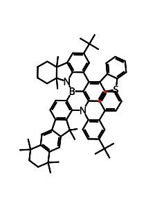 CC(C)(C)c1ccc(N2c3cc4sc5ccccc5c4c4c3B(c3ccc5c(c32)C(C)(C)c2cc3c(cc2-5)C(C)(C)CCC3(C)C)N2c3c-4cc(C(C)(C)C)cc3C3(C)CCCCC23C)c(-c2ccccc2)c1